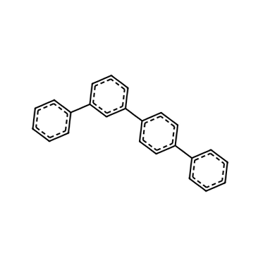 c1ccc(-c2ccc(-c3cccc(-c4ccccc4)c3)cc2)cc1